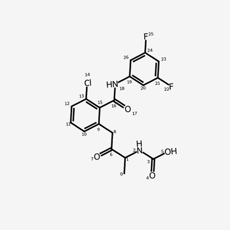 CC(NC(=O)O)C(=O)Cc1cccc(Cl)c1C(=O)Nc1cc(F)cc(F)c1